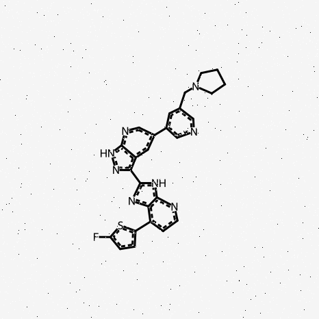 Fc1ccc(-c2ccnc3[nH]c(-c4n[nH]c5ncc(-c6cncc(CN7CCCC7)c6)cc45)nc23)s1